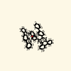 c1ccc(-c2ccc(-c3nc4c5ccccc5c5ccccc5c4nc3-c3cccc(-n4c5ccccc5c5ccc6c7ccccc7n(-c7ccccc7)c6c54)c3)cc2)cc1